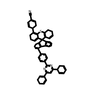 N#CC1=CCC(C2=C3SC4=C(C=CCC4)C4(C3=CCC2)C2=C(C(c3ccc(-c5nc(C6=CCCC=C6)cc(C6C=CC=CC6)n5)cc3)=CCC2)c2ccccc24)C=C1